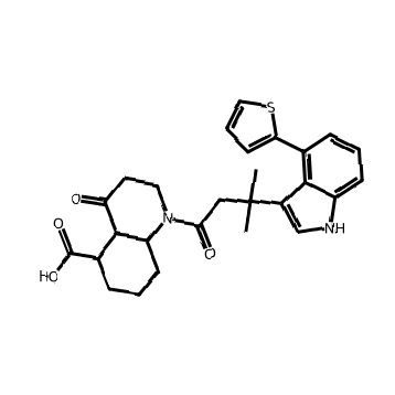 CC(C)(CC(=O)N1CCC(=O)C2C(C(=O)O)CCCC21)c1c[nH]c2cccc(-c3cccs3)c12